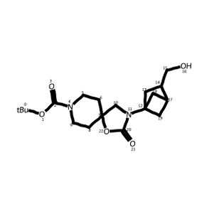 CC(C)(C)OC(=O)N1CCC2(CC1)CN(C13CC(CO)C(C1)C3)C(=O)O2